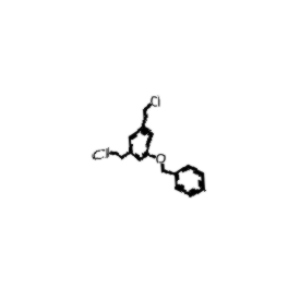 ClCc1cc(CCl)cc(OCc2ccccc2)c1